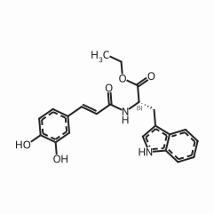 CCOC(=O)[C@H](Cc1c[nH]c2ccccc12)NC(=O)C=Cc1ccc(O)c(O)c1